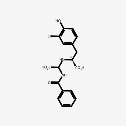 O=C(NC(N[C@@H](Cc1ccc(O)c(Cl)c1)C(=O)O)C(=O)O)c1ccccc1